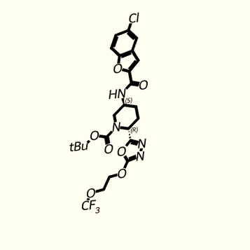 CC(C)(C)OC(=O)N1C[C@@H](NC(=O)c2cc3cc(Cl)ccc3o2)CC[C@@H]1c1nnc(OCCOC(F)(F)F)o1